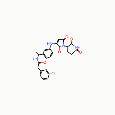 CC(NC(=O)Cc1cccc(Cl)c1)c1cccc(NC2=CC(=O)N(C3CCC(=O)NC3=O)C2=O)c1